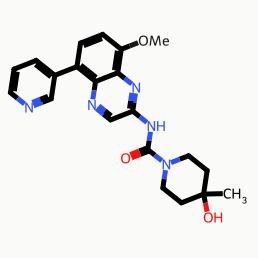 COc1ccc(-c2cccnc2)c2ncc(NC(=O)N3CCC(C)(O)CC3)nc12